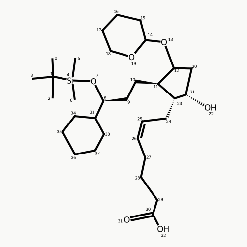 CC(C)(C)[Si](C)(C)O[C@@H](CC[C@H]1C(OC2CCCCO2)C[C@H](O)[C@@H]1C/C=C\CCCC(=O)O)C1CCCCC1